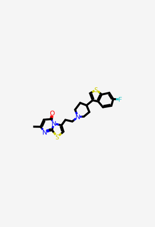 Cc1cc(=O)n2c(CCN3CCC(c4csc5cc(F)ccc45)CC3)csc2n1